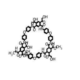 CNC(=O)c1cc(C(=O)Nc2ccc(Oc3ccc(NC(=O)c4cc(C(=O)Nc5ccc(Oc6ccc(NC(=O)C7CC(C(=O)Nc8ccc(Oc9ccc(NC)cc9)cc8)C(C(=O)CO)CC7C(=O)OC)cc6)cc5)c(C(=O)CO)cc4C(=O)O)cc3)cc2)c(C(=O)O)cc1C(=O)O